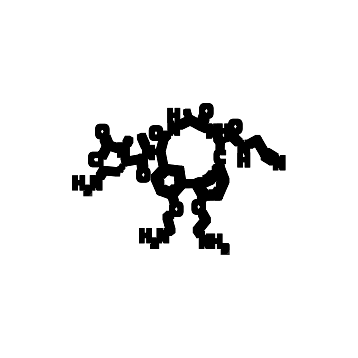 C[C@@H]1NC(=O)[C@@H](N(C)C(=O)[C@H](CCN)N(C)C(=O)Cl)c2ccc(OCCN)c(c2)-c2cc(ccc2OCCN)C[C@@H](C(=O)NCC#N)NC1=O